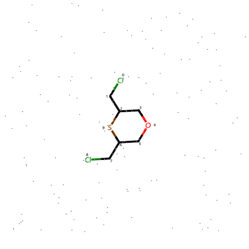 ClCC1COCC(CCl)S1